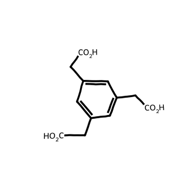 O=C(O)Cc1cc(CC(=O)O)cc(CC(=O)O)c1